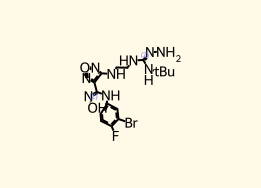 CC(C)(C)N/C(=N\N)NCCNc1nonc1/C(=N/O)Nc1ccc(F)c(Br)c1